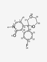 Cc1cn(C)c(=O)cc1C1(c2ccc(F)cc2)COCCO1